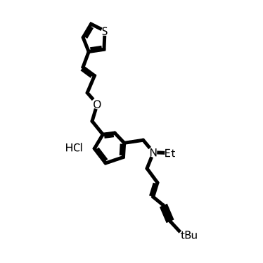 CCN(CC=CC#CC(C)(C)C)Cc1cccc(COCC=Cc2ccsc2)c1.Cl